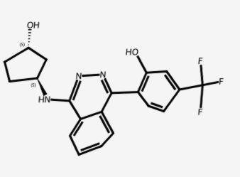 Oc1cc(C(F)(F)F)ccc1-c1nnc(N[C@H]2CC[C@H](O)C2)c2ccccc12